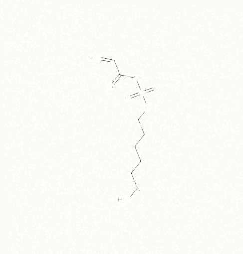 C=CC(=O)NS(=O)(=O)OCCCCCCC